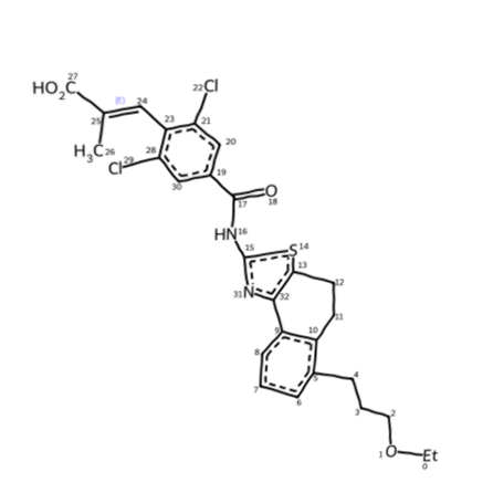 CCOCCCc1cccc2c1CCc1sc(NC(=O)c3cc(Cl)c(/C=C(\C)C(=O)O)c(Cl)c3)nc1-2